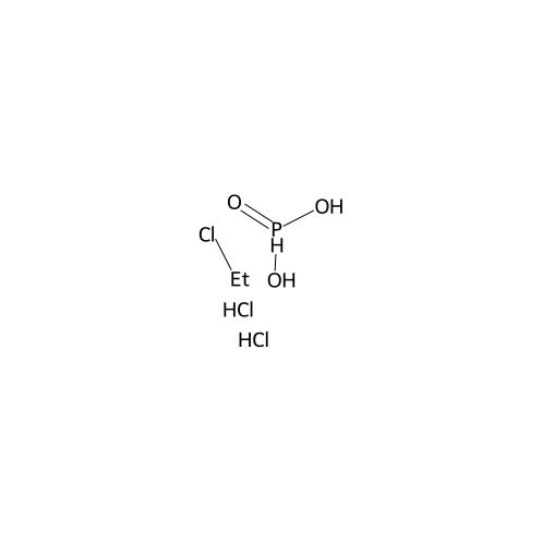 CCCl.Cl.Cl.O=[PH](O)O